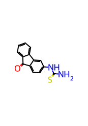 NC(=S)Nc1ccc2c(c1)-c1ccccc1C2=O